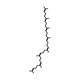 CC(C)=CCCC(C)=CCCC(C)=CCCC(C)=C[CH]C/C=C(\C)CC/C=C(\C)CC/C=C(\C)CCC=C(C)C